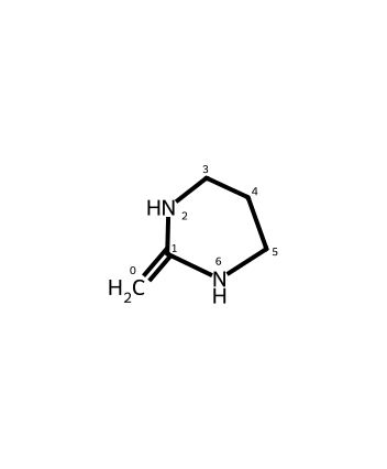 C=C1NCCCN1